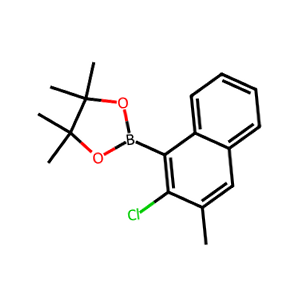 Cc1cc2ccccc2c(B2OC(C)(C)C(C)(C)O2)c1Cl